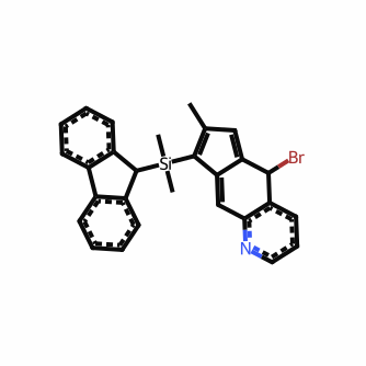 CC1=C([Si](C)(C)C2c3ccccc3-c3ccccc32)C2=Cc3ncccc3C(Br)C2=C1